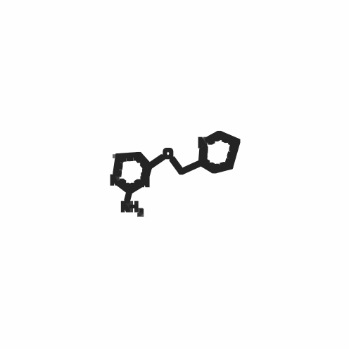 Nc1n[c]cc(OCc2ccccn2)n1